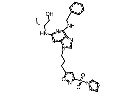 CC[C@H](CO)Nc1nc(NCc2ccccc2)c2ncn(CCCc3cc(S(=O)(=O)n4cncn4)no3)c2n1